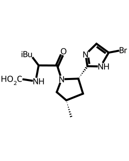 CCC(C)C(NC(=O)O)C(=O)N1C[C@@H](C)C[C@H]1c1ncc(Br)[nH]1